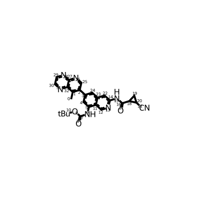 Cc1c(-c2cc(NC(=O)OC(C)(C)C)c3cnc(NC(=O)C4CC4C#N)cc3c2)cnc2nccnc12